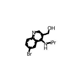 CC(C)Nc1c(CO)cnc2ccc(Br)cc12